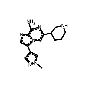 Cn1cc(-c2cnc3c(N)nc(C4CCCNC4)cn23)cn1